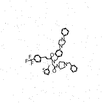 O=C([C@H](Cc1cccs1)N(Cc1ccc(N2CCN(c3ccccc3)CC2)cc1)C(=O)/C=C/c1ccc(C(F)(F)F)cc1)N1CCN(Cc2ccccc2)CC1